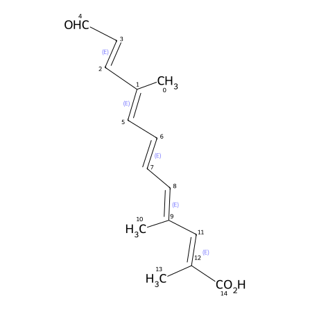 CC(/C=C/C=O)=C\C=C\C=C(C)\C=C(/C)C(=O)O